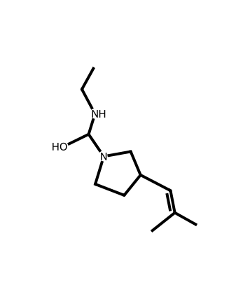 CCNC(O)N1CCC(C=C(C)C)C1